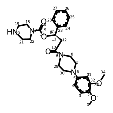 COc1ccc(N2CCN(C(=O)C[C@@H](OC(=O)N3CCNCC3)c3ccccc3)CC2)cc1OC